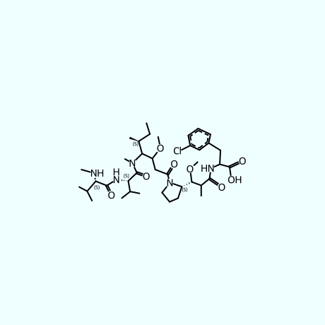 CC[C@H](C)C(C(CC(=O)N1CCC[C@H]1C(OC)C(C)C(=O)NC(Cc1cccc(Cl)c1)C(=O)O)OC)N(C)C(=O)[C@@H](NC(=O)[C@@H](NC)C(C)C)C(C)C